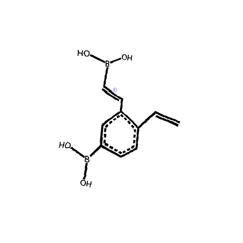 C=Cc1ccc(B(O)O)cc1/C=C/B(O)O